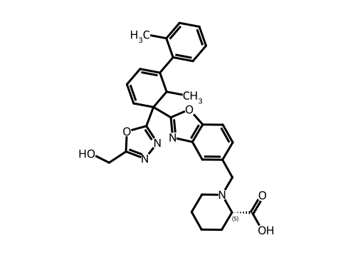 Cc1ccccc1C1=CC=CC(c2nnc(CO)o2)(c2nc3cc(CN4CCCC[C@H]4C(=O)O)ccc3o2)C1C